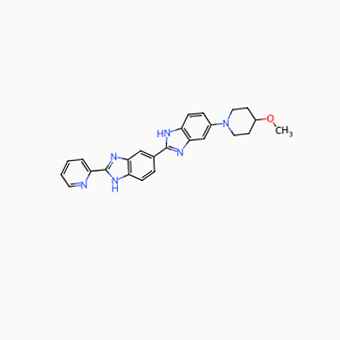 COC1CCN(c2ccc3[nH]c(-c4ccc5[nH]c(-c6ccccn6)nc5c4)nc3c2)CC1